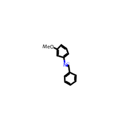 COc1cccc(/N=C/c2ccccc2)c1